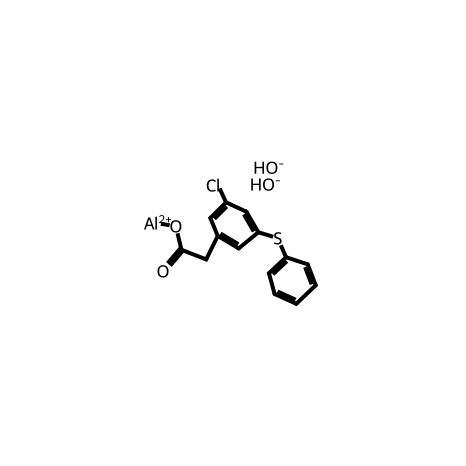 O=C(Cc1cc(Cl)cc(Sc2ccccc2)c1)[O][Al+2].[OH-].[OH-]